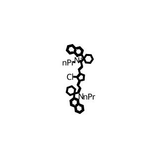 CCCN1/C(=C/C=C2\CCC(/C=C/C3=[N+](CCC)c4c(ccc5ccccc45)C34CCCCC4)=C2Cl)C2(CCCCC2)c2ccc3ccccc3c21